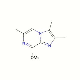 COc1nc(C)cn2c(C)c(C)nc12